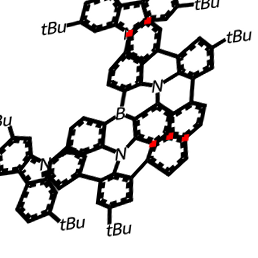 CC(C)(C)c1cc(-c2ccccc2)c(N2c3cc(-n4c5cc(C(C)(C)C)ccc5c5ccc(C(C)(C)C)cc54)ccc3B3c4ccc(-n5c6cc(C(C)(C)C)ccc6c6ccc(C(C)(C)C)cc65)cc4N(c4c(-c5ccccc5)cc(C(C)(C)C)cc4-c4ccccc4)c4cccc2c43)c(-c2ccccc2)c1